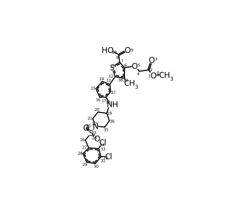 COC(=O)COc1c(C(=O)O)sc(-c2cccc(NC3CCN(S(=O)(=O)Cc4cccc(Cl)c4Cl)CC3)c2)c1C